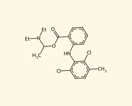 CCN(CC)C(C)OC(=O)c1ccccc1Nc1c(Cl)ccc(C)c1Cl